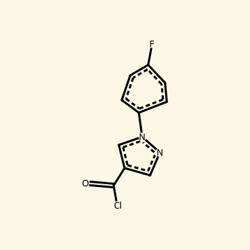 O=C(Cl)c1cnn(-c2ccc(F)cc2)c1